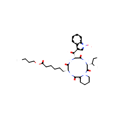 CCCCOC(=O)CCCCC[C@@H]1NC(=O)[C@H]2CCCCN2C(=O)[C@H](C(C)CC)NC(=O)[C@H](C(=O)c2cn(OC)c3ccccc23)NC1=O